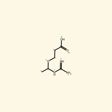 CC(NC(=N)N)OCCC(=O)O